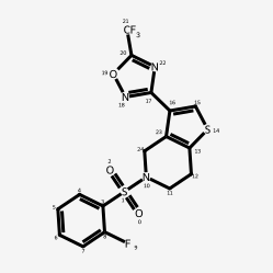 O=S(=O)(c1ccccc1F)N1CCc2scc(-c3noc(C(F)(F)F)n3)c2C1